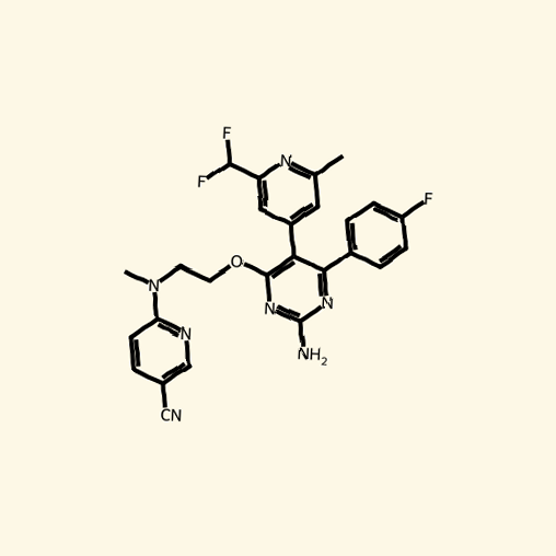 Cc1cc(-c2c(OCCN(C)c3ccc(C#N)cn3)nc(N)nc2-c2ccc(F)cc2)cc(C(F)F)n1